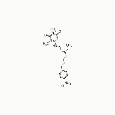 CCN(CCCCc1ccc([N+](=O)[O-])cc1)CCNc1cc(=O)n(C)c(=O)n1C